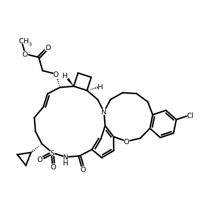 COC(=O)CO[C@H]1/C=C/CC[C@@H](C2CC2)S(=O)(=O)NC(=O)c2ccc3c(c2)N(CCCCc2cc(Cl)ccc2CO3)C[C@@H]2CC[C@H]21